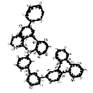 c1ccc(-c2cc3c4c(nccc4c2)N(c2cccc(-c4cccc(-c5ccc6c7ccccc7c7ccccc7c6c5)c4)c2)c2ccccc2-3)cc1